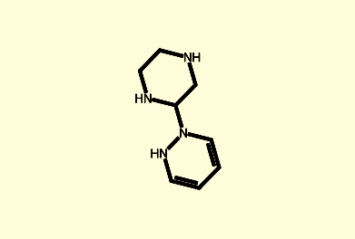 C1=CNN(C2CNCCN2)C=C1